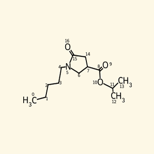 CCCCCN1CC(C(=O)OC(C)C)CC1=O